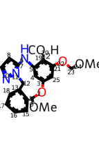 COCOc1cc(Nc2ccnn2Cc2ccccc2)c(C(=O)O)c(OCOC)c1